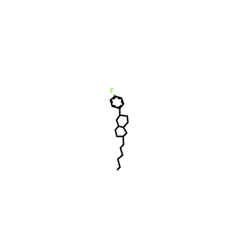 CCCCCCC1CCC2CC(c3ccc(F)cc3)CCC2C1